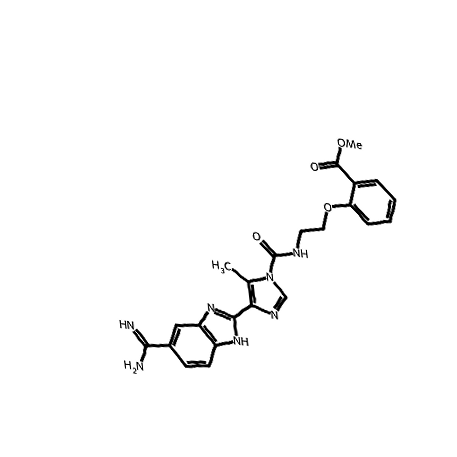 COC(=O)c1ccccc1OCCNC(=O)n1cnc(-c2nc3cc(C(=N)N)ccc3[nH]2)c1C